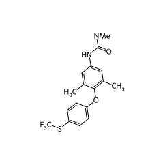 CNC(=O)Nc1cc(C)c(Oc2ccc(SC(F)(F)F)cc2)c(C)c1